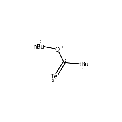 CCCCOC(=[Te])C(C)(C)C